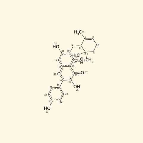 CC1=CCCC(C)(C)[C@@H]1Cc1c(O)cc2oc(-c3ccc(O)cc3)c(O)c(=O)c2c1O